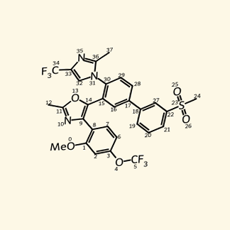 COc1cc(OC(F)(F)F)ccc1-c1nc(C)oc1-c1cc(-c2cccc(S(C)(=O)=O)c2)ccc1-n1cc(C(F)(F)F)nc1C